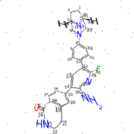 CN1[C@@H]2CC[C@H]1CN(c1ccc(-c3cc(-c4ccc5c(c4)CCNC5=O)c(N)nc3F)cc1)C2